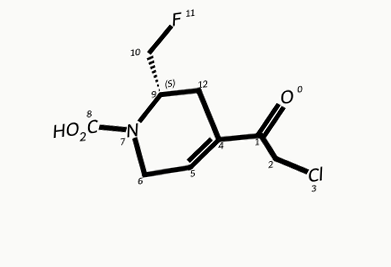 O=C(CCl)C1=CCN(C(=O)O)[C@H](CF)C1